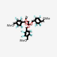 COCc1c(F)c(F)c(COC(C[O][Zr])(OCc2c(F)c(F)c(COC)c(F)c2F)OCc2c(F)c(F)c(COC)c(F)c2F)c(F)c1F